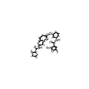 Cc1cc(C(=O)Nc2cccc(Oc3ccc4nc(NC(=O)c5sccc5C)cn4n3)c2)c(C)o1